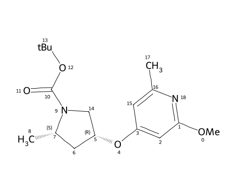 COc1cc(O[C@@H]2C[C@H](C)N(C(=O)OC(C)(C)C)C2)cc(C)n1